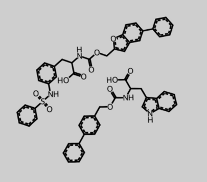 O=C(NC(Cc1c[nH]c2ccccc12)C(=O)O)OCc1ccc(-c2ccccc2)cc1.O=C(NC(Cc1cccc(NS(=O)(=O)c2ccccc2)c1)C(=O)O)OCc1cc2cc(-c3ccccc3)ccc2o1